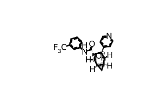 O=C(Nc1cccc(C(F)(F)F)c1)[C@H]1[C@@H]2O[C@@H]([C@H]3C[C@H]32)[C@@H]1c1ccncc1